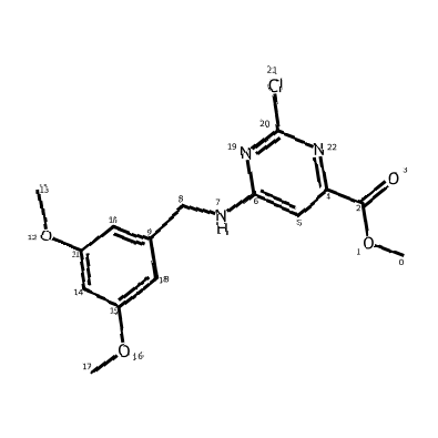 COC(=O)c1cc(NCc2cc(OC)cc(OC)c2)nc(Cl)n1